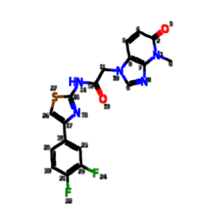 Cn1c(=O)ccc2c1ncn2CC(=O)Nc1nc(-c2ccc(F)c(F)c2)cs1